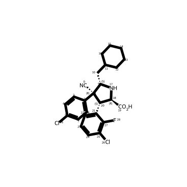 N#C[C@]1(c2ccc(Cl)cc2)[C@H](CC2CCCCC2)N[C@@H](C(=O)O)[C@@H]1c1cccc(Cl)c1F